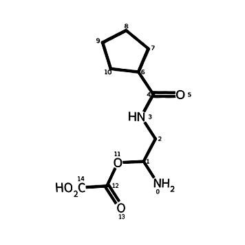 NC(CNC(=O)C1CCCC1)OC(=O)C(=O)O